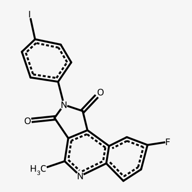 Cc1nc2ccc(F)cc2c2c1C(=O)N(c1ccc(I)cc1)C2=O